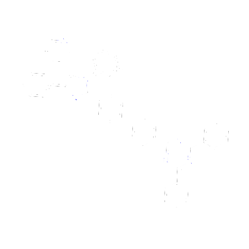 c1ccc(-c2nc(-c3ccccc3)nc(-c3ccc(-c4ccc(C5Nc6c(c7cnccc7c7ccccc67)N5c5ccccc5)cc4)cc3)n2)cc1